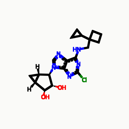 O[C@@H]1[C@H](O)[C@@H]2C[C@@H]2[C@H]1n1cnc2c(NCC3(C4CC4)CCC3)nc(Cl)nc21